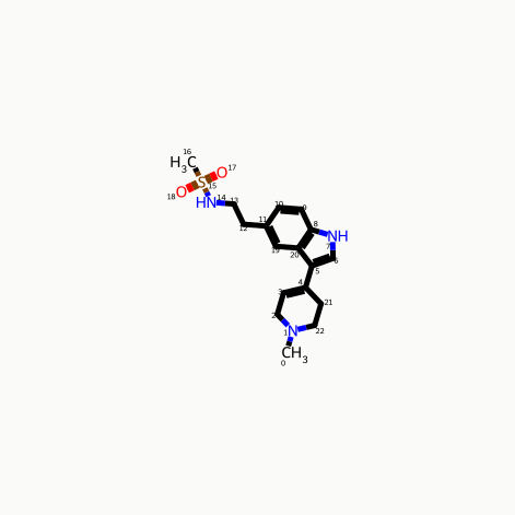 CN1CC=C(c2c[nH]c3ccc(CCNS(C)(=O)=O)cc23)CC1